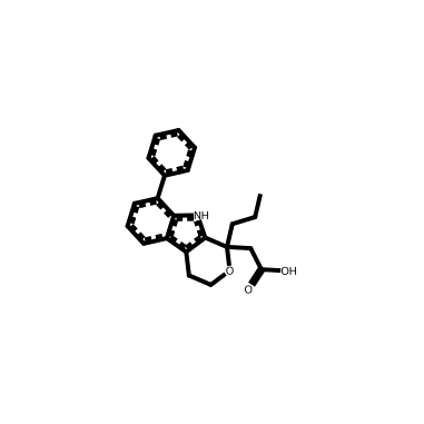 CCCC1(CC(=O)O)OCCc2c1[nH]c1c(-c3ccccc3)cccc21